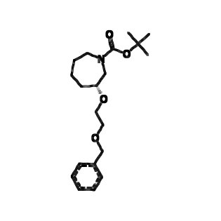 CC(C)(C)OC(=O)N1CCCC[C@@H](OCCOCc2ccccc2)C1